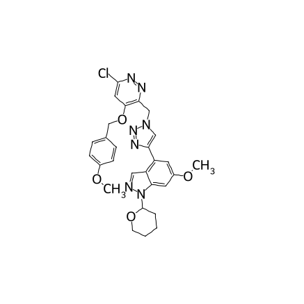 COc1ccc(COc2cc(Cl)nnc2Cn2cc(-c3cc(OC)cc4c3cnn4C3CCCCO3)nn2)cc1